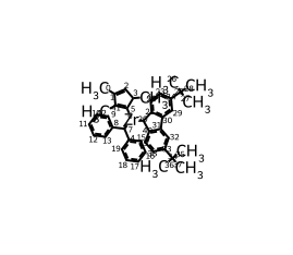 CC1=CC(C)[C]([Zr](=[C](c2ccccc2)c2ccccc2)[CH]2c3ccc(C(C)(C)C)cc3-c3cc(C(C)(C)C)ccc32)=C1C